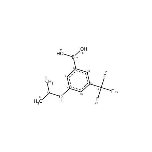 CC(C)Oc1cc(B(O)O)cc(C(F)(F)F)c1